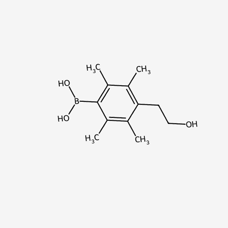 Cc1c(C)c(B(O)O)c(C)c(C)c1CCO